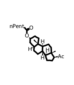 CCCCCC(=O)O[C@@H]1CC[C@@]2(C)[C@@H](CC[C@@H]3[C@@H]2CC[C@]2(C)[C@@H](C(C)=O)CC[C@@H]32)C1